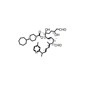 C/C(=C\C=C\C(C)c1cc(C)ccn1)[C@@H](C=O)[C@@H](C)/C=C/[C@H](OC(=O)N1CCN(C2CCCCCC2)CC1)[C@@](C)(O)CC[C@H](O)CC=O